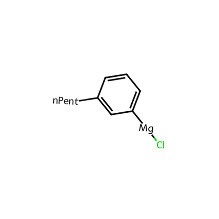 CCCCCc1ccc[c]([Mg][Cl])c1